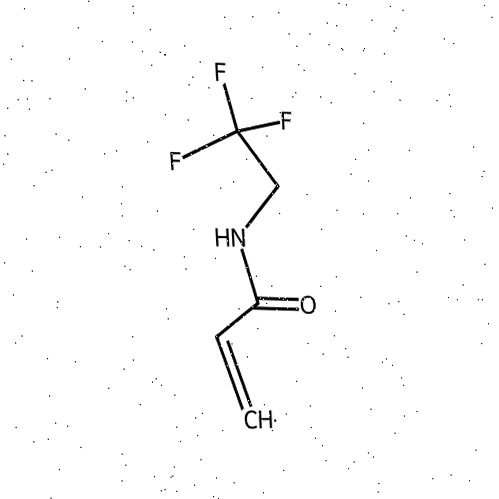 [CH]=CC(=O)NCC(F)(F)F